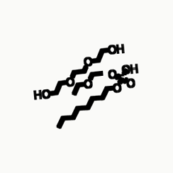 CCCCCCCCOS(=O)(=O)O.CCOCC.OCCOCCOCCO